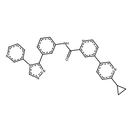 O=C(Nc1cccc(-c2nncn2-c2cccnc2)c1)c1cc(-c2ccc(C3CC3)nc2)ccn1